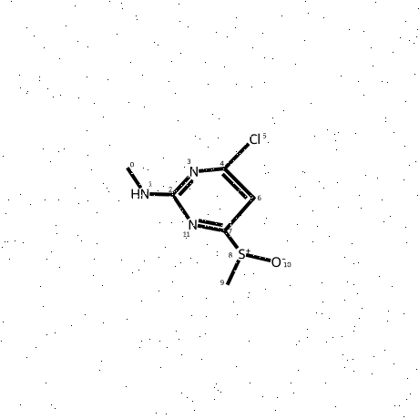 CNc1nc(Cl)cc([S+](C)[O-])n1